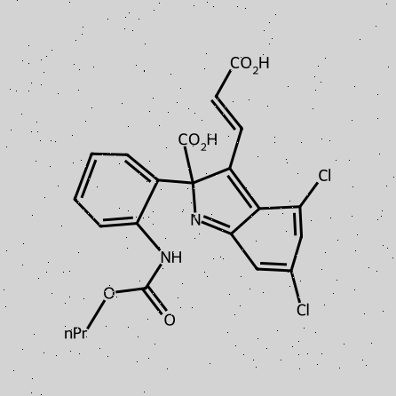 CCCOC(=O)Nc1ccccc1C1(C(=O)O)N=c2cc(Cl)cc(Cl)c2=C1C=CC(=O)O